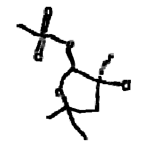 CC1(C)C[C@](F)(Cl)[C@H](OS(C)(=O)=O)O1